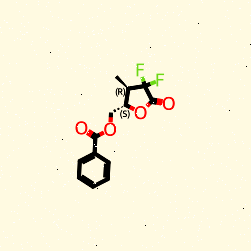 C[C@@H]1[C@@H](COC(=O)c2ccccc2)OC(=O)C1(F)F